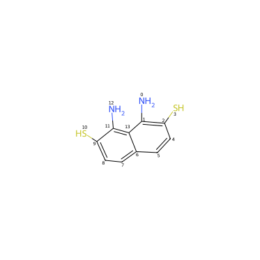 Nc1c(S)ccc2ccc(S)c(N)c12